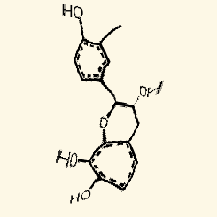 Cc1cc([C@@H]2Oc3c(ccc(O)c3O)C[C@H]2O)ccc1O